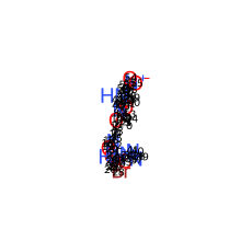 Cc1ccc(C(=O)N(CCOCCCCCN2CCO[C@H](COc3cc(C)c(Br)cc3NC(=O)Nc3cnc(C)cn3)C2)CC(C)(C)C2Nc3ccc([N+](=O)[O-])cc3C3CCCC32)cc1